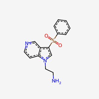 NCCn1cc(S(=O)(=O)c2ccccc2)c2cnccc21